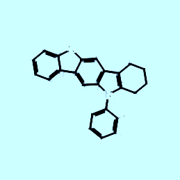 c1ccc(-n2c3c(c4cc5[nH]c6ccccc6c5cc42)CCCC3)cc1